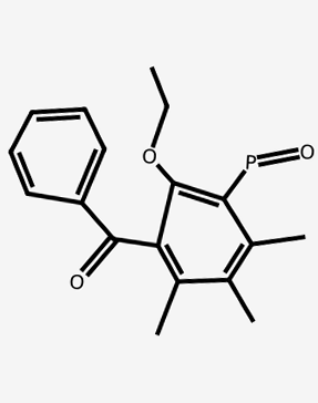 CCOc1c(P=O)c(C)c(C)c(C)c1C(=O)c1ccccc1